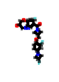 O=C1CNc2cc(C(=O)N3CC(COc4ccc(N5CC(F)C5)cc4F)C3)c(F)cc2OC1